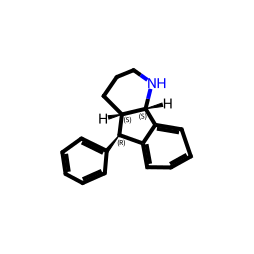 c1ccc([C@@H]2c3ccccc3[C@H]3NCCC[C@@H]23)cc1